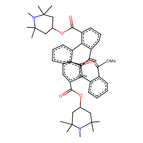 C=C(c1cccc(C(=O)OC2CC(C)(C)N(C)C(C)(C)C2)c1-c1ccccc1C(=O)OC)c1cccc(C(=O)OC2CC(C)(C)N(C)C(C)(C)C2)c1-c1ccccc1C(=O)OC